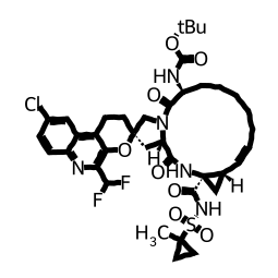 CC(C)(C)OC(=O)N[C@H]1CCCCC/C=C\[C@@H]2C[C@@]2(C(=O)NS(=O)(=O)C2(C)CC2)NC(=O)[C@@H]2C[C@]3(CCc4c(c(C(F)F)nc5ccc(Cl)cc45)O3)CN2C1=O